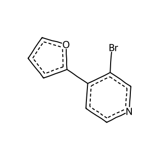 Brc1cnccc1-c1ccco1